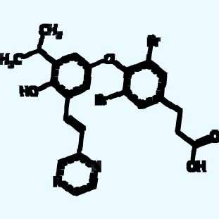 CC(C)c1cc(Oc2c(Br)cc(CCC(=O)O)cc2Br)cc(/C=C/c2cnccn2)c1O